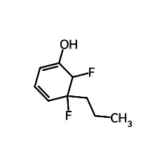 CCCC1(F)C=CC=C(O)C1F